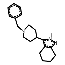 c1ccc(CN2CCC(c3[nH]nc4c3CCCC4)CC2)cc1